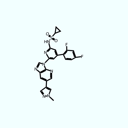 Cn1cc(-c2cnc3c(c2)ncn3-c2cc(-c3ccc(F)cc3F)cc(NS(=O)(=O)C3CC3)n2)cn1